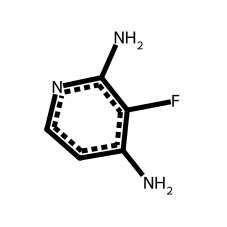 Nc1ccnc(N)c1F